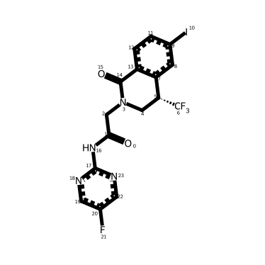 O=C(CN1C[C@@H](C(F)(F)F)c2cc(I)ccc2C1=O)Nc1ncc(F)cn1